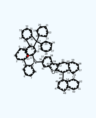 c1ccc(-c2ccccc2N(c2ccc3c(c2)C(c2ccccc2)(c2ccccc2)c2ccccc2-3)c2ccc3c(c2)oc2c(-c4cccc5ccccc45)c4ccccc4cc23)cc1